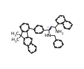 CC1(C)c2cc3ccccc3cc2-c2c(-c3ccc(/C(=C/C(N)c4cccc5ccccc45)NCc4ccccc4)cc3)cccc21